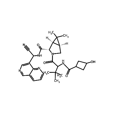 CC(C)(C)C(NC(=O)C1CC(O)C1)C(=O)N1C[C@H]2[C@@H]([C@H]1C(=O)NC(C#N)c1cncc3cccnc13)C2(C)C